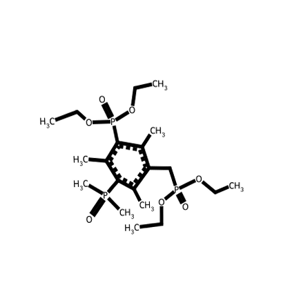 CCOP(=O)(Cc1c(C)c(P(C)(C)=O)c(C)c(P(=O)(OCC)OCC)c1C)OCC